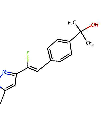 Cc1cc(C(F)=Cc2ccc(C(O)(C(F)(F)F)C(F)(F)F)cc2)n[nH]1